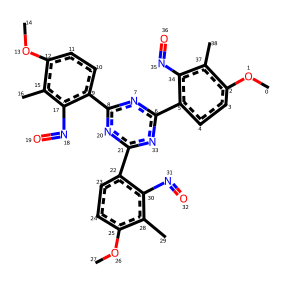 COc1ccc(-c2nc(-c3ccc(OC)c(C)c3N=O)nc(-c3ccc(OC)c(C)c3N=O)n2)c(N=O)c1C